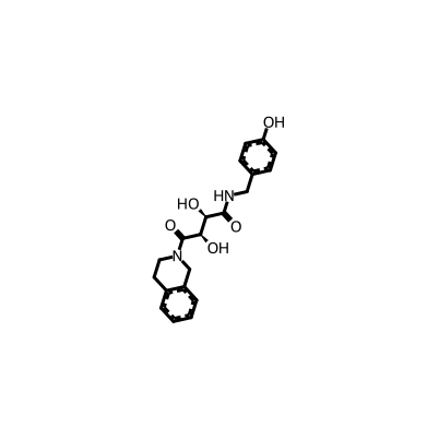 O=C(NCc1ccc(O)cc1)[C@H](O)[C@@H](O)C(=O)N1CCc2ccccc2C1